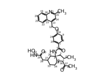 CCC[C@]1(NC(=O)c2ccc(OCc3cc(C)nc4ccccc34)cc2)CC(CC(=O)NO)CCN1CC(C)=O